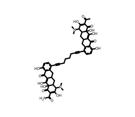 CC(=O)C1=C(O)C(N(C)C)C2CC3Cc4c(C#CCCCCC#Cc5ccc(O)c6c5CC5CC7C(N(C)C)C(O)=C(C(N)=O)C(=O)C7(O)C(O)=C5C6=O)ccc(O)c4C(=O)C3=C(O)C2(O)C1=O